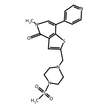 Cn1cc(-c2ccncc2)c2sc(CN3CCN(S(C)(=O)=O)CC3)cc2c1=O